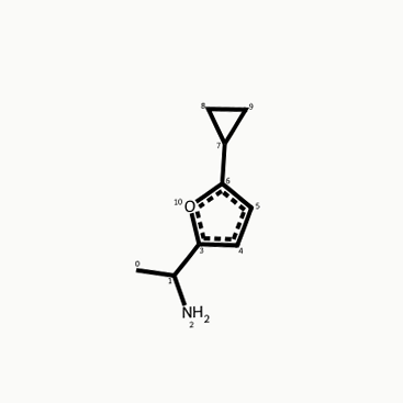 CC(N)c1ccc(C2CC2)o1